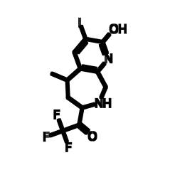 CC1CC(C(=O)C(F)(F)F)NCc2nc(O)c(I)cc21